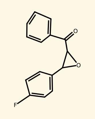 O=C(c1ccccc1)C1OC1c1ccc(F)cc1